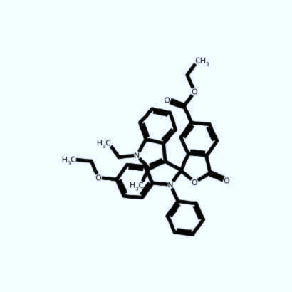 CCOC(=O)c1ccc2c(c1)C(c1c(C)n(CC)c3ccccc13)(N(c1ccccc1)c1ccc(OCC)cc1)OC2=O